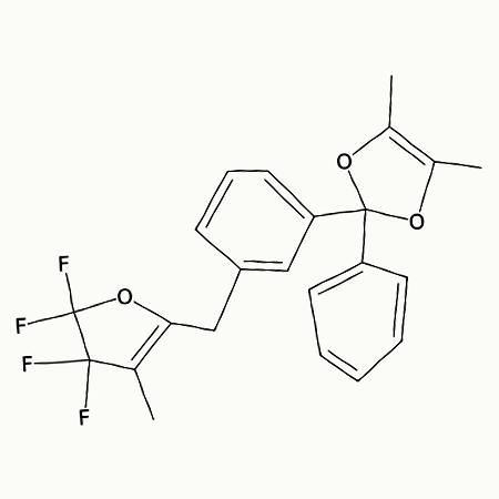 CC1=C(C)OC(c2ccccc2)(c2cccc(CC3=C(C)C(F)(F)C(F)(F)O3)c2)O1